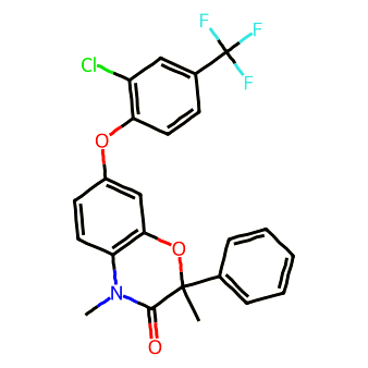 CN1C(=O)C(C)(c2ccccc2)Oc2cc(Oc3ccc(C(F)(F)F)cc3Cl)ccc21